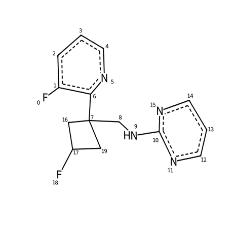 Fc1cccnc1C1(CNc2ncccn2)CC(F)C1